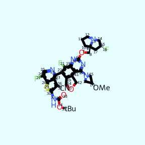 COC1CN(c2nc(OC[C@@]34CCCN3C[C@H](F)C4)nc3c(F)c(-c4ncc(F)c5sc(NC(=O)OC(C)(C)C)c(C#N)c45)c4c(c23)COC4)C1